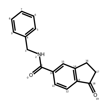 O=C(NCc1ccccc1)c1ccc2c(c1)CCC2=O